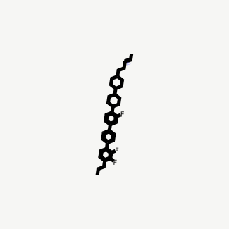 C/C=C/CCC1CCC(C2CCC(c3ccc(-c4ccc(-c5ccc(CCC)c(F)c5F)cc4)cc3F)CC2)CC1